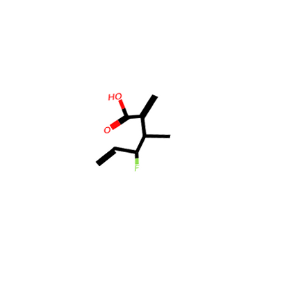 C=CC(F)C(C)C(=C)C(=O)O